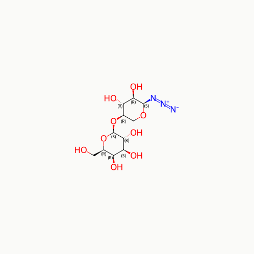 [N-]=[N+]=N[C@H]1OC[C@@H](O[C@@H]2O[C@H](CO)[C@H](O)[C@H](O)[C@H]2O)[C@H](O)[C@H]1O